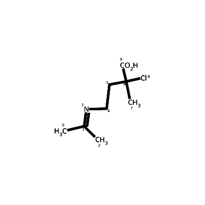 CC(C)=NCCC(C)(Cl)C(=O)O